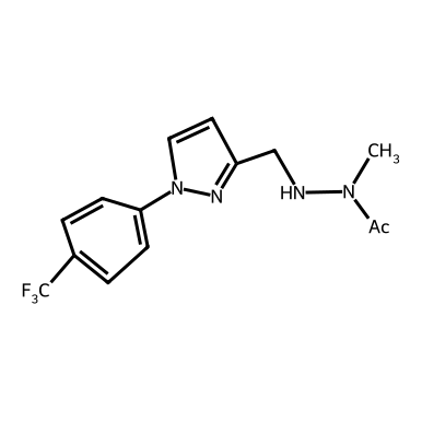 CC(=O)N(C)NCc1ccn(-c2ccc(C(F)(F)F)cc2)n1